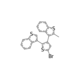 Cc1sc2ccccc2c1-c1cc(Br)sc1-c1csc2ccccc12